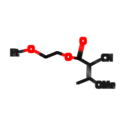 CCOCCOC(=O)C(C#N)=C(C)OC